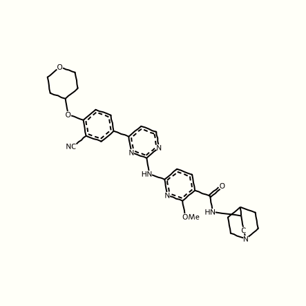 COc1nc(Nc2nccc(-c3ccc(OC4CCOCC4)c(C#N)c3)n2)ccc1C(=O)NC1CN2CCC1CC2